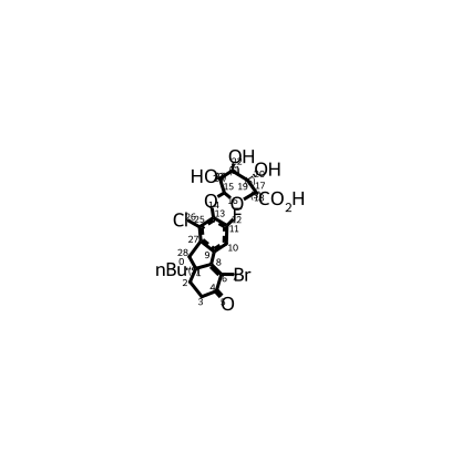 CCCC[C@@]12CCC(=O)C(Br)=C1c1cc(F)c(OC3O[C@H](C(=O)O)[C@@H](O)[C@H](O)[C@H]3O)c(Cl)c1C2